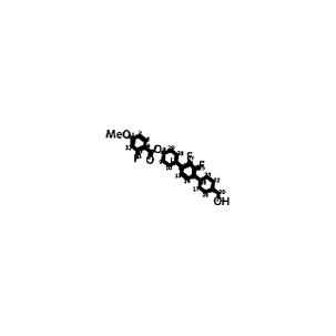 COc1ccc(C(=O)OC2CCC(c3ccc(C4CCC(CO)CC4)c(F)c3F)CC2)c(F)c1